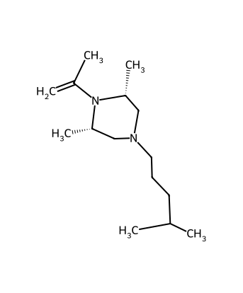 C=C(C)N1[C@H](C)CN(CCCC(C)C)C[C@@H]1C